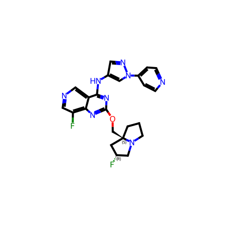 Fc1cncc2c(Nc3cnn(-c4ccncc4)c3)nc(OC[C@@]34CCCN3C[C@H](F)C4)nc12